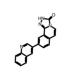 O=c1[nH]nc2c3cc(-c4cnc5ccccc5c4)ccc3ccn12